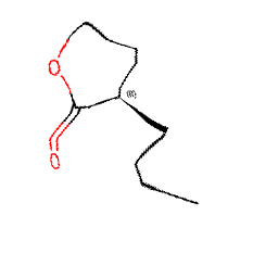 CCC[C@@H]1CCOC1=O